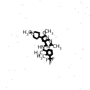 COc1nc2nc(C)nc(N[C@H](C)c3cccc(C(F)(F)F)c3C)c2cc1C1CCN(C)CC1